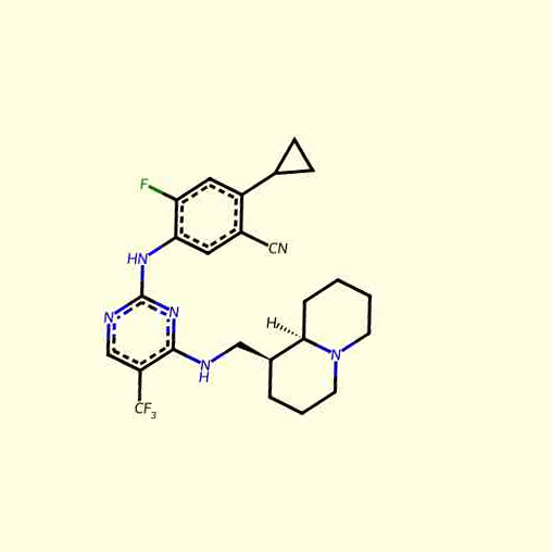 N#Cc1cc(Nc2ncc(C(F)(F)F)c(NC[C@@H]3CCCN4CCCC[C@H]34)n2)c(F)cc1C1CC1